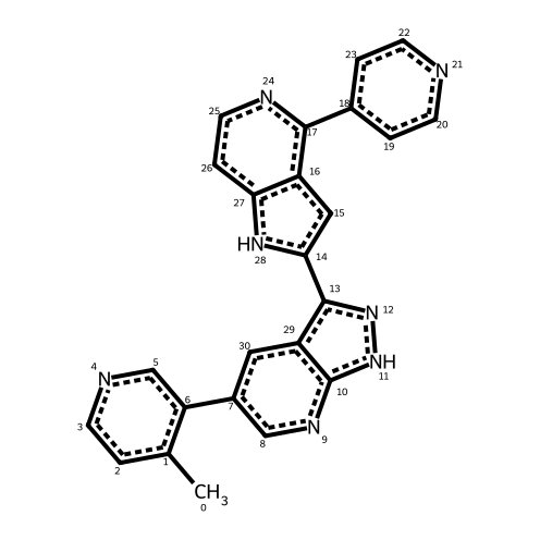 Cc1ccncc1-c1cnc2[nH]nc(-c3cc4c(-c5ccncc5)nccc4[nH]3)c2c1